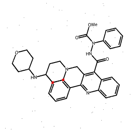 COC(=O)N(NC(=O)c1c(CN2CCC(NC3CCOCC3)CC2)c(-c2ccccc2)nc2ccccc12)c1ccccc1